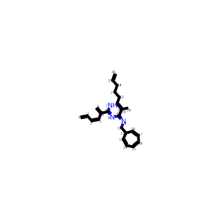 C=C/C=C\C(=C)/C(N)=N/C(=N\CC1C=CC=CC=C1)C(/C)=C/CCCC=C